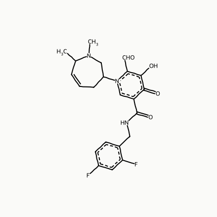 CC1C=CCC(n2cc(C(=O)NCc3ccc(F)cc3F)c(=O)c(O)c2C=O)CN1C